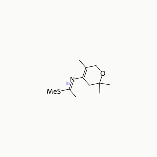 CS/C(C)=N/C1=C(C)COC(C)(C)C1